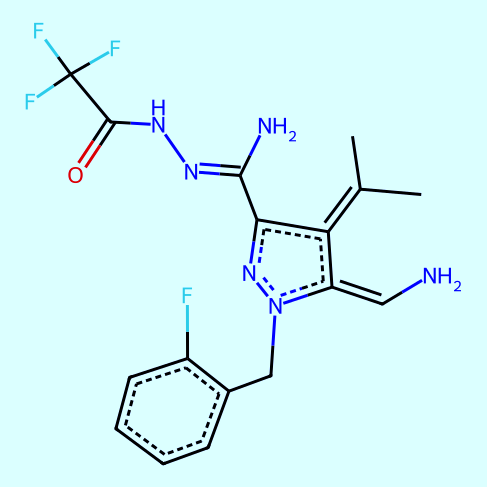 CC(C)=c1c(/C(N)=N/NC(=O)C(F)(F)F)nn(Cc2ccccc2F)/c1=C/N